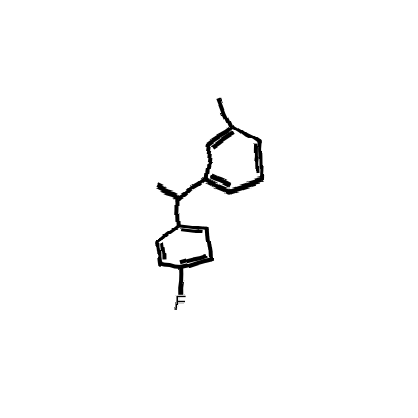 Cc1cccc(C(C)c2ccc(F)cc2)c1